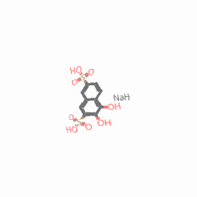 O=S(=O)(O)c1ccc2c(O)c(O)c(S(=O)(=O)O)cc2c1.[NaH]